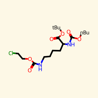 CCCCOC(=O)NC(CCCCNC(=O)OCCCl)C(=O)OC(C)(C)C